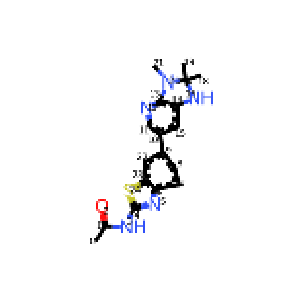 CC(=O)Nc1nc2ccc(-c3cnc4c(c3)NC(C)(C)N4C)cc2s1